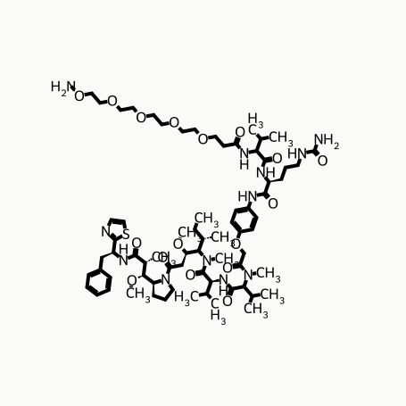 CC[C@H](C)C([C@@H](CC(=O)N1CCC[C@H]1[C@H](OC)[C@@H](C)C(=O)N[C@@H](Cc1ccccc1)c1nccs1)OC)N(C)C(=O)[C@@H](NC(=O)C(C(C)C)N(C)C(=O)COc1ccc(NC(=O)[C@H](CCCNC(N)=O)NC(=O)C(NC(=O)CCOCCOCCOCCOCCON)C(C)C)cc1)C(C)C